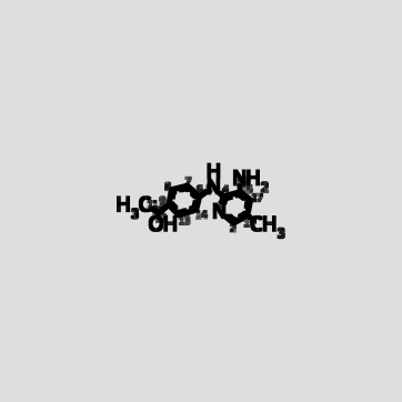 Cc1cnc(Nc2ccc(C(C)O)cc2)c(N)c1